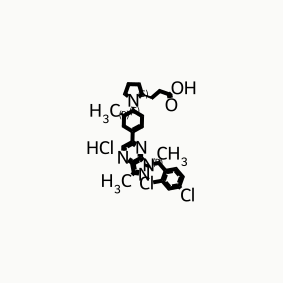 Cc1nn([C@H](C)c2ccc(Cl)cc2Cl)c2nc(C3=CC[C@H](N4CCC[C@H]4CCC(=O)O)[C@H](C)C3)cnc12.Cl